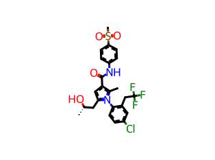 Cc1c(C(=O)Nc2ccc(S(C)(=O)=O)cc2)cc(C[C@H](C)O)n1-c1ccc(Cl)cc1CC(F)(F)F